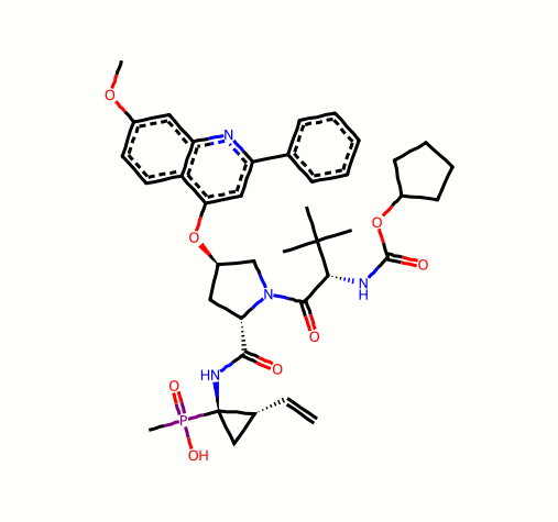 C=C[C@@H]1C[C@]1(NC(=O)[C@@H]1C[C@@H](Oc2cc(-c3ccccc3)nc3cc(OC)ccc23)CN1C(=O)[C@@H](NC(=O)OC1CCCC1)C(C)(C)C)P(C)(=O)O